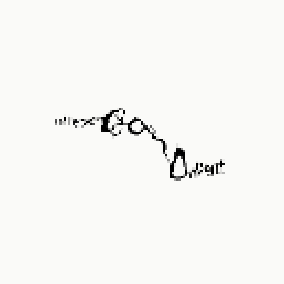 CCCCCC[C@H]1CO[C@H](c2ccc(OC/C=C/[C@H]3CC[C@H](CCCCC)CC3)cc2)OC1